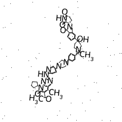 CC(=O)c1c(C)c2cnc(Nc3ccc(N4CCN(c5ccc([C@@H](C)N6CCC(O)(c7ccc8c(c7)CN(C7CCC(=O)NC7=O)C8=O)CC6)cc5)CC4)cn3)nc2n(C2CCCC2)c1=O